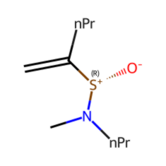 C=C(CCC)[S@+]([O-])N(C)CCC